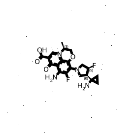 C[C@H]1COc2c(N3C[C@@H](F)[C@@H](C4(N)CC4)C3)c(F)c(N)c3c(=O)c(C(=O)O)cn1c23